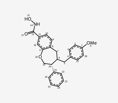 COc1ccc(CC2Cc3ccc(C(=O)NO)cc3OC[C@H]2c2ccccc2)cc1